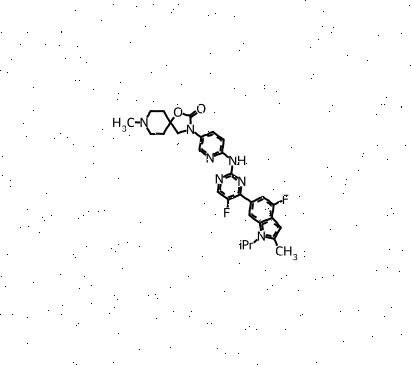 Cc1cc2c(F)cc(-c3nc(Nc4ccc(N5CC6(CCN(C)CC6)OC5=O)cn4)ncc3F)cc2n1C(C)C